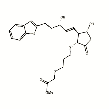 COC(=O)CSCCCS[C@H]1C(=O)C[C@@H](O)[C@@H]1C=C[C@@H](O)CCc1cc2ccccc2s1